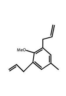 C=CCc1cc(C)cc(CC=C)c1OC